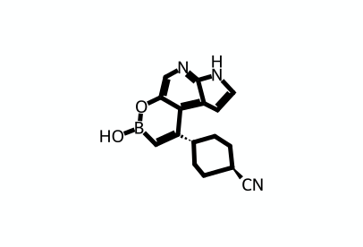 N#C[C@H]1CC[C@H](C2=CB(O)Oc3cnc4[nH]ccc4c32)CC1